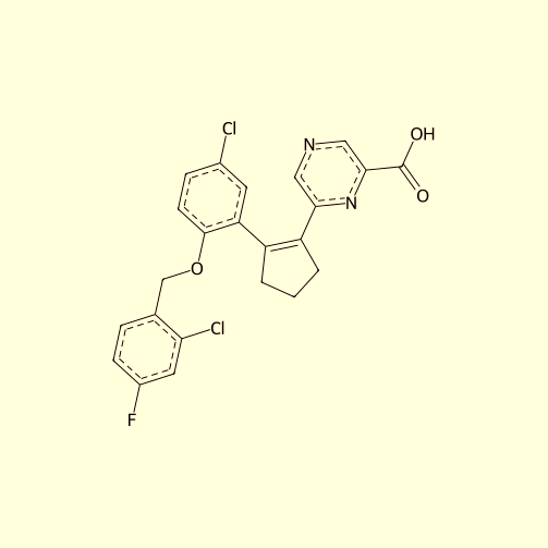 O=C(O)c1cncc(C2=C(c3cc(Cl)ccc3OCc3ccc(F)cc3Cl)CCC2)n1